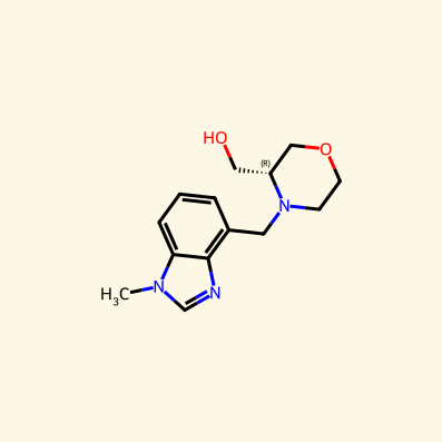 Cn1cnc2c(CN3CCOC[C@H]3CO)cccc21